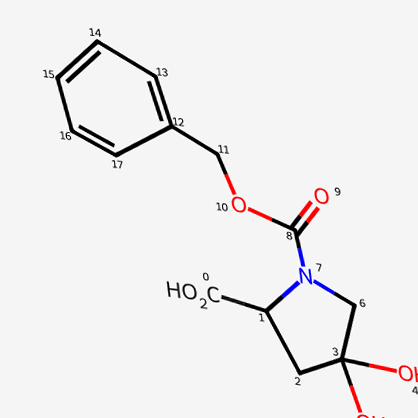 O=C(O)C1CC(O)(O)CN1C(=O)OCc1ccccc1